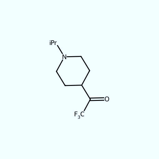 CC(C)N1CCC(C(=O)C(F)(F)F)CC1